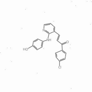 O=C(C=Cc1cccnc1Nc1ccc(O)cc1)c1ccc(Cl)cc1